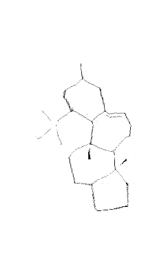 CC(=O)[C@H]1CC[C@H]2[C@@H]3CC=C4CC(O)CC([Si](C)(C)C(C)(C)C)[C@]4(C)[C@H]3CC[C@]12C